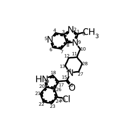 Cc1nc2cnccc2n1CC1CCN(C(=O)c2c[nH]c3cccc(Cl)c23)CC1